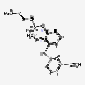 C#Cc1cccc(Nc2ncnc(=C/C(=C)OCCOC)/c2=C\C)c1